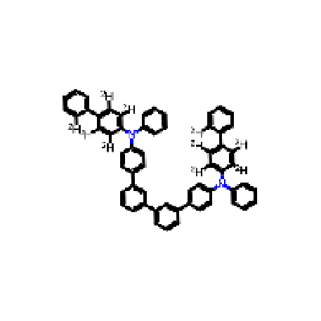 [2H]c1ccccc1-c1c([2H])c([2H])c(N(c2ccccc2)c2ccc(-c3cccc(-c4cccc(-c5ccc(N(c6ccccc6)c6c([2H])c([2H])c(-c7ccccc7[2H])c([2H])c6[2H])cc5)c4)c3)cc2)c([2H])c1[2H]